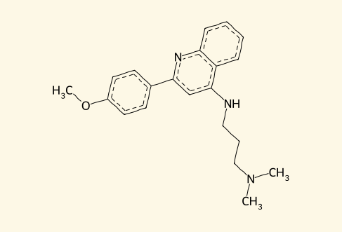 COc1ccc(-c2cc(NCCCN(C)C)c3ccccc3n2)cc1